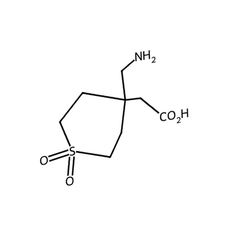 NCC1(CC(=O)O)CCS(=O)(=O)CC1